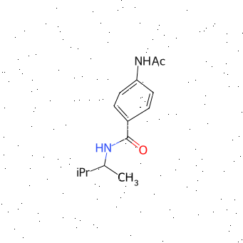 CC(=O)Nc1ccc(C(=O)NC(C)C(C)C)cc1